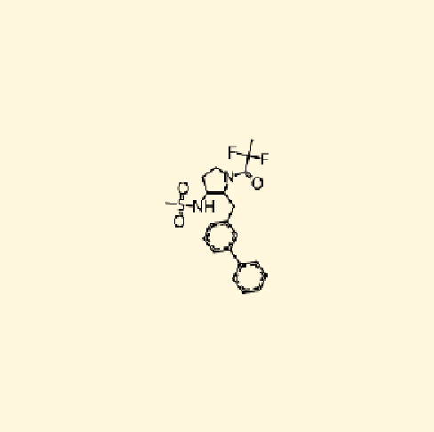 CC(F)(F)C(=O)N1CCC(NS(C)(=O)=O)C1Cc1cccc(-c2ccccc2)c1